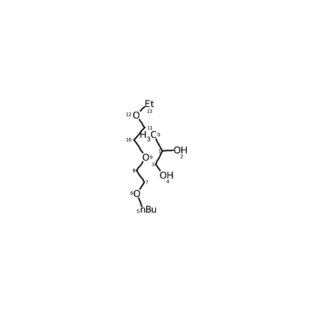 CC(O)CO.CCCCOCCOCCOCC